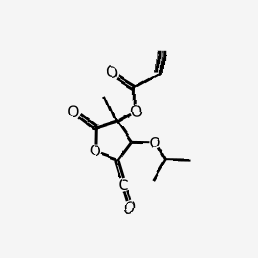 C=CC(=O)OC1(C)C(=O)OC(=C=O)C1OC(C)C